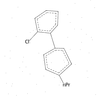 [CH2]CCc1ccc(-c2ccccc2Cl)cc1